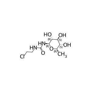 C[C@H]1O[C@@H](NC(=O)NCCCl)[C@H](O)[C@@H](O)[C@@H]1O